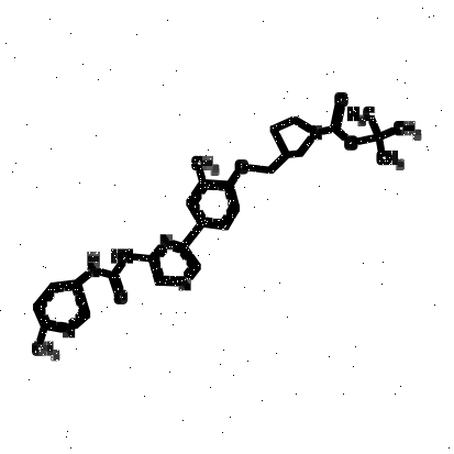 Cc1ccc(NC(=O)Nc2cncc(-c3ccc(OCC4CCN(C(=O)OC(C)(C)C)C4)c(C)c3)n2)cn1